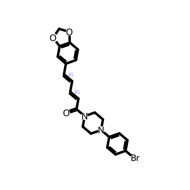 O=C(/C=C/C=C/c1ccc2c(c1)OCO2)N1CCN(c2ccc(Br)cc2)CC1